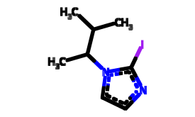 CC(C)C(C)n1ccnc1I